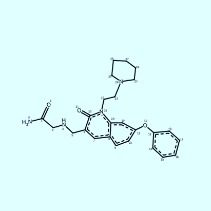 NC(=O)CNCc1cc2ccc(Oc3ccccc3)cc2n(CCN2CCCCC2)c1=O